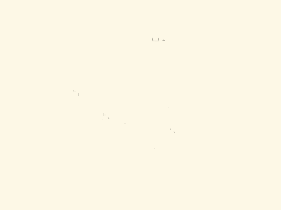 COc1cc(Cl)c2nc(Cl)cc(-n3ccnc3)c2c1